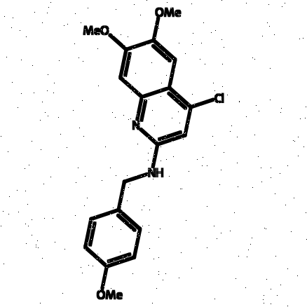 COc1ccc(CNc2cc(Cl)c3cc(OC)c(OC)cc3n2)cc1